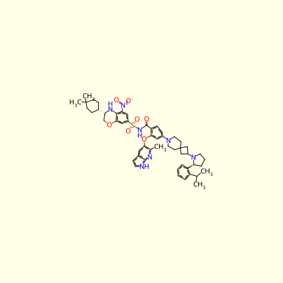 Cc1nc2[nH]ccc2cc1Oc1cc(N2CCC3(CC2)CC(N2CCC[C@H]2c2ccccc2C(C)C)C3)ccc1C(=O)NS(=O)(=O)c1cc2c(c([N+](=O)[O-])c1)N[C@@H](C1CCC(C)(C)CC1)CO2